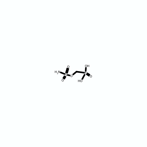 NS(=O)(=O)OCP(=O)(O)O